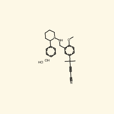 COc1ccc(C(C)(C)C#CC#N)cc1CNN1CCCCC1c1ccccc1.Cl.Cl